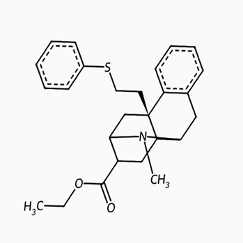 CCOC(=O)C1CC2C3Cc4ccccc4[C@@]2(CCSc2ccccc2)CC1N3C